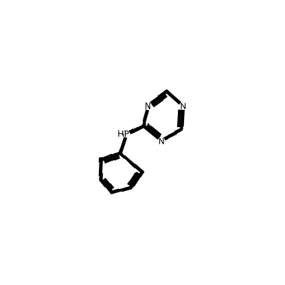 c1ccc(Pc2ncncn2)cc1